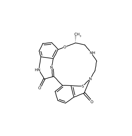 C[C@@H]1CNCCn2sc3c(cccc3c2=O)-c2nc3c(cccc3[nH]c2=O)O1